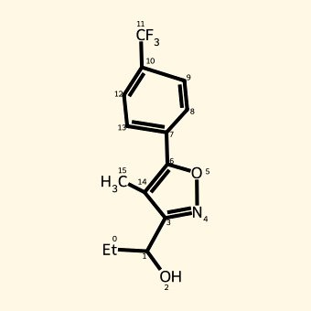 CCC(O)c1noc(-c2ccc(C(F)(F)F)cc2)c1C